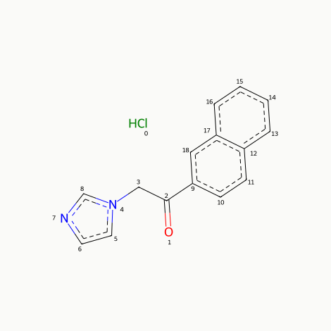 Cl.O=C(Cn1ccnc1)c1ccc2ccccc2c1